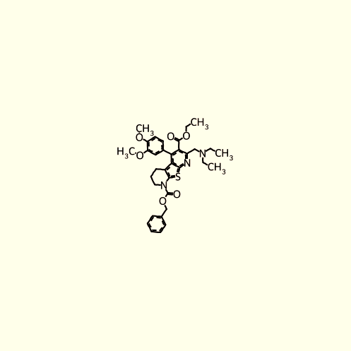 CCOC(=O)c1c(CN(CC)CC)nc2sc3c(c2c1-c1ccc(OC)c(OC)c1)CCCN3C(=O)OCc1ccccc1